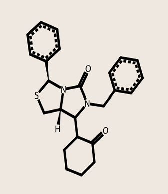 O=C1CCCCC1C1[C@@H]2CS[C@@H](c3ccccc3)N2C(=O)N1Cc1ccccc1